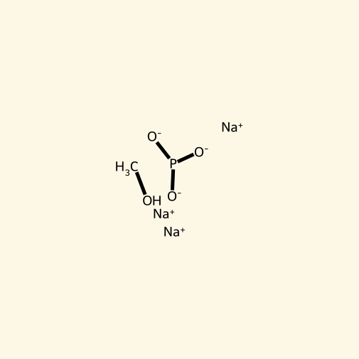 CO.[Na+].[Na+].[Na+].[O-]P([O-])[O-]